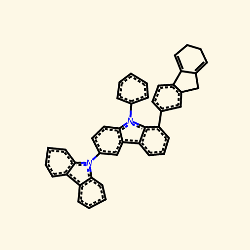 C1=C2Cc3cc(-c4cccc5c6cc(-n7c8ccccc8c8ccccc87)ccc6n(-c6ccccc6)c45)ccc3C2=CCC1